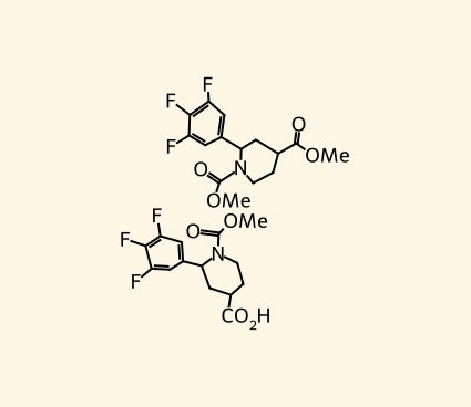 COC(=O)C1CCN(C(=O)OC)C(c2cc(F)c(F)c(F)c2)C1.COC(=O)N1CCC(C(=O)O)CC1c1cc(F)c(F)c(F)c1